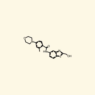 Cc1cc(N2CCOCC2)ccc1C(=O)Nc1ccc2sc(CO)nc2c1